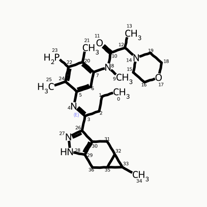 CCC/C(=N\c1cc(N(C)C(=O)C(C)N2CCOCC2)c(C)c(P)c1C)c1n[nH]c2c1CC1C(C)C1C2